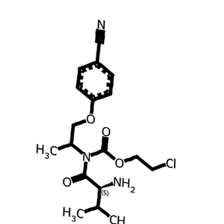 CC(C)[C@H](N)C(=O)N(C(=O)OCCCl)C(C)COc1ccc(C#N)cc1